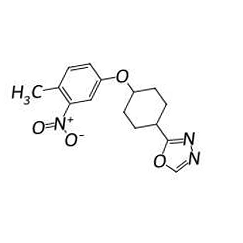 Cc1ccc(OC2CCC(c3nnco3)CC2)cc1[N+](=O)[O-]